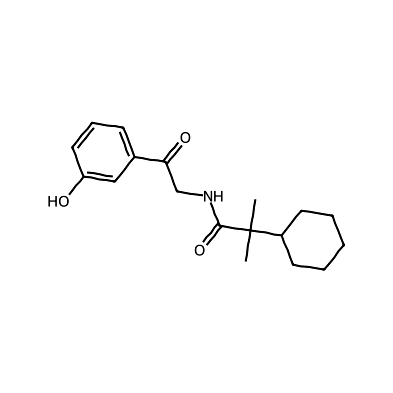 CC(C)(C(=O)NCC(=O)c1cccc(O)c1)C1CCCCC1